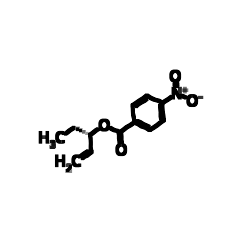 C=C[C@H](CC)OC(=O)c1ccc([N+](=O)[O-])cc1